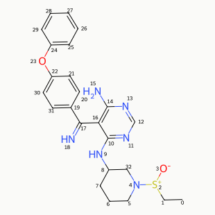 CC[S+]([O-])N1CCCC(Nc2ncnc(N)c2C(=N)c2ccc(Oc3ccccc3)cc2)C1